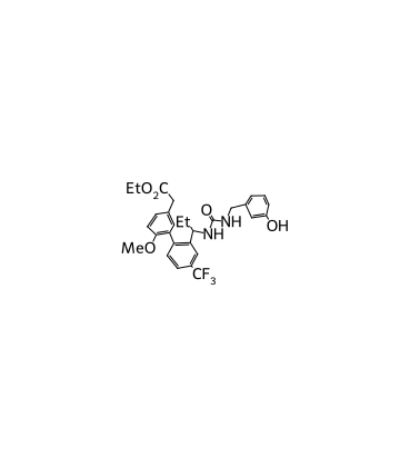 CCOC(=O)Cc1ccc(OC)c(-c2ccc(C(F)(F)F)cc2C(CC)NC(=O)NCc2cccc(O)c2)c1